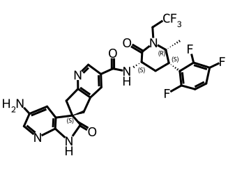 C[C@@H]1[C@H](c2c(F)ccc(F)c2F)C[C@H](NC(=O)c2cnc3c(c2)C[C@@]2(C3)C(=O)Nc3ncc(N)cc32)C(=O)N1CC(F)(F)F